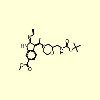 C=C/N=C1/Nc2cc(C(=O)OC)ccc2/C1=C(/C)N1CCOC(CNC(=O)OC(C)(C)C)C1